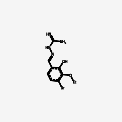 CCOc1c(Br)ccc(C=NNC(=N)N)c1O